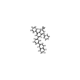 Brc1cc(-c2ccccc2)c2cc(-c3cccc(-c4ccc5ccccc5c4)c3)cc(-c3ccccc3)c2c1